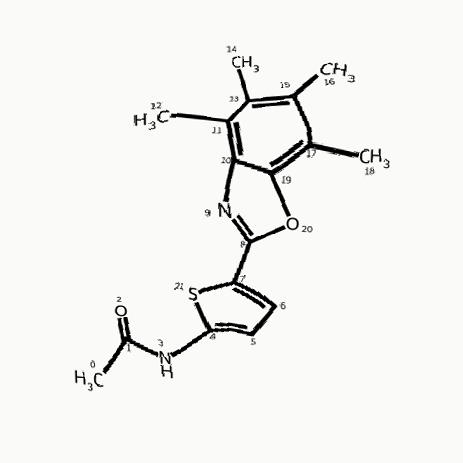 CC(=O)Nc1ccc(-c2nc3c(C)c(C)c(C)c(C)c3o2)s1